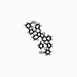 Cc1ccccc1N(c1cc2c(oc3cc(N(c4ccccc4C)c4cccc5c4oc4c(C(C)(C)C)cccc45)c4ccccc4c32)c2ccccc12)c1cccc2c1oc1c(C(C)(C)C)cccc12